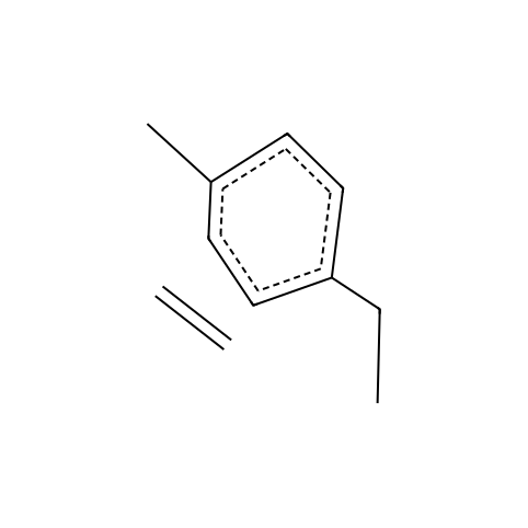 C=C.CCc1ccc(C)cc1